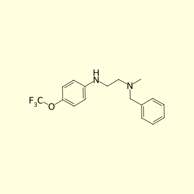 CN(CCNc1ccc(OC(F)(F)F)cc1)Cc1ccccc1